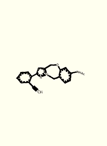 C#Cc1ccccc1-c1cc2n(n1)Cc1ccc(NC(C)=O)cc1OC2